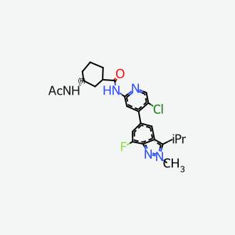 CC(=O)N[C@@H]1CCCC(C(=O)Nc2cc(-c3cc(F)c4nn(C)c(C(C)C)c4c3)c(Cl)cn2)C1